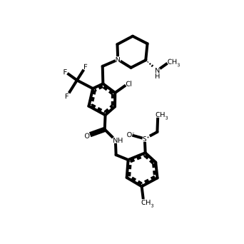 CC[S+]([O-])c1ccc(C)cc1CNC(=O)c1cc(Cl)c(CN2CCC[C@H](NC)C2)c(C(F)(F)F)c1